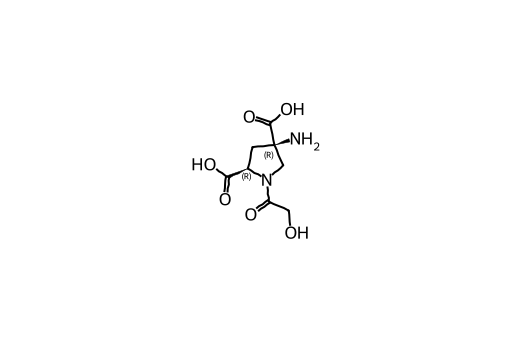 N[C@]1(C(=O)O)C[C@H](C(=O)O)N(C(=O)CO)C1